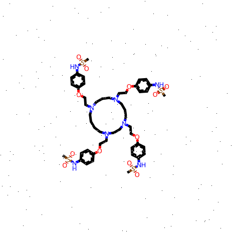 CS(=O)(=O)Nc1ccc(OCCN2CCCCN(CCOc3ccc(NS(C)(=O)=O)cc3)CCN(CCOc3ccc(NS(C)(=O)=O)cc3)CCCN(CCOc3ccc(NS(C)(=O)=O)cc3)CCC2)cc1